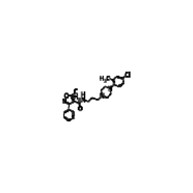 Cc1cc(Cl)ccc1N1CCN(CCCNC(=O)c2c(-c3ccccc3)noc2C)CC1